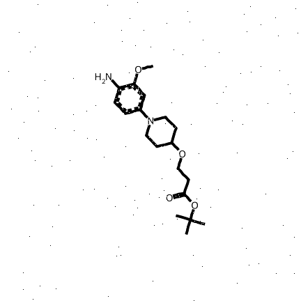 COc1cc(N2CCC(OCCC(=O)OC(C)(C)C)CC2)ccc1N